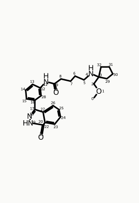 COCC1(NCCCCC(=O)Nc2cccc(-c3n[nH]c(=O)c4ccccc34)c2)CCCC1